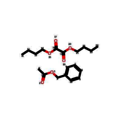 CC(=O)OCc1ccccc1.CCCCOC(=O)C(=O)OCCCC